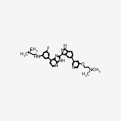 CN(C)CCNc1cc(F)cc(-c2ccnc3[nH]c(-c4n[nH]c5ccc(-c6cncc(OCCN(C)C)c6)cc45)nc23)c1